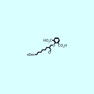 CCCCCCCCCCCCCCCCC(COc1c(C(=O)O)cccc1C(=O)O)I=O